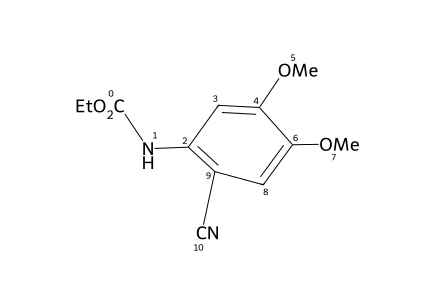 CCOC(=O)Nc1cc(OC)c(OC)cc1C#N